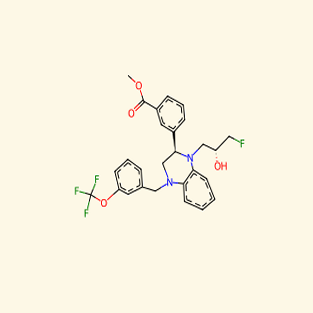 COC(=O)c1cccc([C@@H]2CN(Cc3cccc(OC(F)(F)F)c3)c3ccccc3N2C[C@@H](O)CF)c1